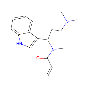 C=CC(=O)N(C)C(CCN(C)C)c1c[nH]c2ccccc12